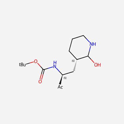 CC(=O)[C@H](C[C@@H]1CCCNC1O)NC(=O)OC(C)(C)C